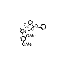 COc1ccc(-c2csc(NC(=O)[C@@H]3CCCN3C(=O)OCc3ccccc3)n2)c(OC)c1